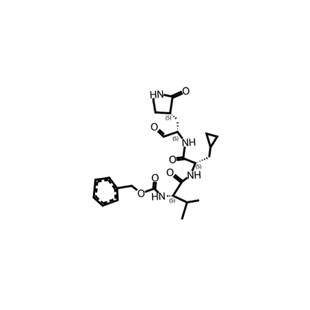 CC(C)[C@H](NC(=O)OCc1ccccc1)C(=O)N[C@@H](CC1CC1)C(=O)N[C@H](C=O)C[C@@H]1CCNC1=O